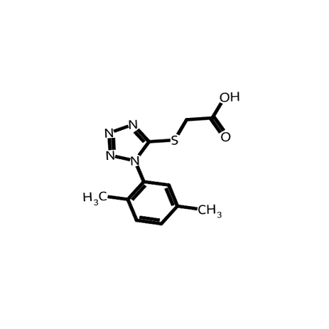 Cc1ccc(C)c(-n2nnnc2SCC(=O)O)c1